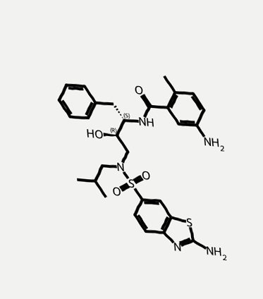 Cc1ccc(N)cc1C(=O)N[C@@H](Cc1ccccc1)[C@H](O)CN(CC(C)C)S(=O)(=O)c1ccc2nc(N)sc2c1